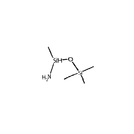 C[SiH](N)O[Si](C)(C)C